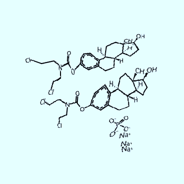 C[C@]12CC[C@@H]3c4ccc(OC(=O)N(CCCl)CCCl)cc4CC[C@H]3[C@@H]1CC[C@@H]2O.C[C@]12CC[C@@H]3c4ccc(OC(=O)N(CCCl)CCCl)cc4CC[C@H]3[C@@H]1CC[C@@H]2O.O=P([O-])([O-])[O-].[Na+].[Na+].[Na+]